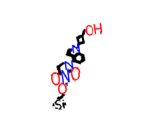 C[Si](C)(C)CCOCN1C(=O)CCN(c2cccc3c2ccn3C2CC(CO)C2)C1=O